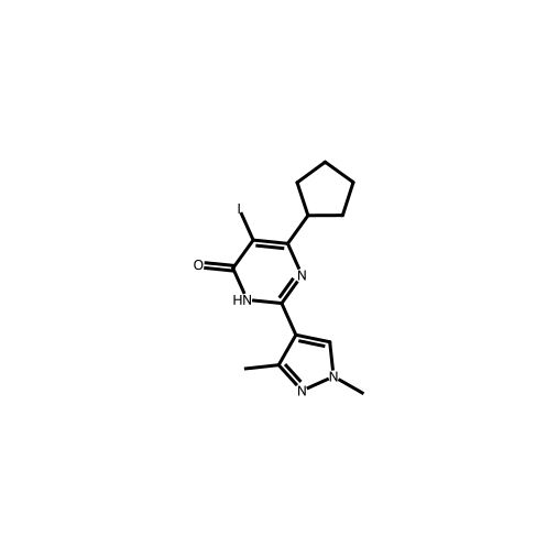 Cc1nn(C)cc1-c1nc(C2CCCC2)c(I)c(=O)[nH]1